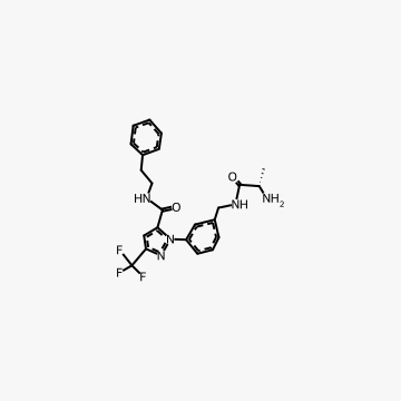 C[C@H](N)C(=O)NCc1cccc(-n2nc(C(F)(F)F)cc2C(=O)NCCc2ccccc2)c1